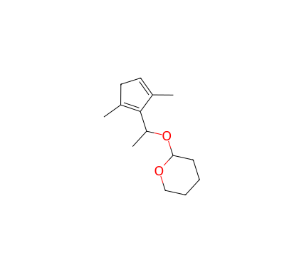 CC1=CCC(C)=C1C(C)OC1CCCCO1